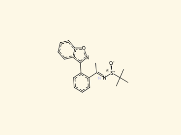 C/C(=N\[S@@+]([O-])C(C)(C)C)c1ccccc1-c1noc2ccccc12